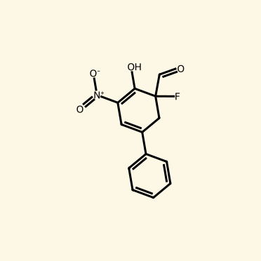 O=CC1(F)CC(c2ccccc2)=CC([N+](=O)[O-])=C1O